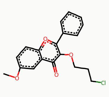 COc1ccc2oc(-c3ccccc3)c(OCCCCl)c(=O)c2c1